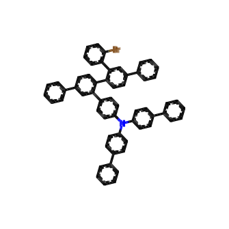 Brc1ccccc1-c1cc(-c2ccccc2)ccc1-c1ccc(-c2ccccc2)cc1-c1ccc(N(c2ccc(-c3ccccc3)cc2)c2ccc(-c3ccccc3)cc2)cc1